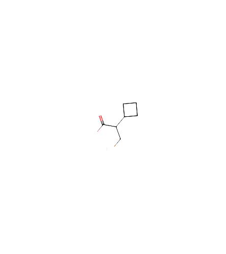 O=C(O)C(CS)C1CCC1